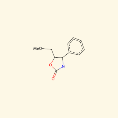 COCC1OC(=O)[N]C1c1ccccc1